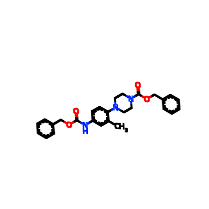 Cc1cc(NC(=O)OCc2ccccc2)ccc1N1CCN(C(=O)OCc2ccccc2)CC1